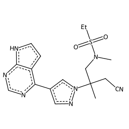 CCS(=O)(=O)N(C)CC(C)(CC#N)n1cc(-c2ncnc3[nH]ccc23)cn1